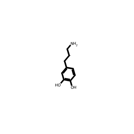 NC[CH]Cc1ccc(O)c(O)c1